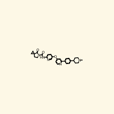 CN1CCC(c2ccc(-c3cc(Oc4ccc(NC(=O)N5CCC6(CC6)C5=O)nc4)ccn3)cc2)CC1